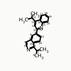 CC(C)c1nccc2cc(-c3cc(C(C)C)c4ccccc4n3)ccc12